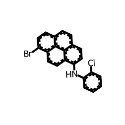 Clc1ccccc1Nc1ccc2ccc3ccc(Br)c4ccc1c2c34